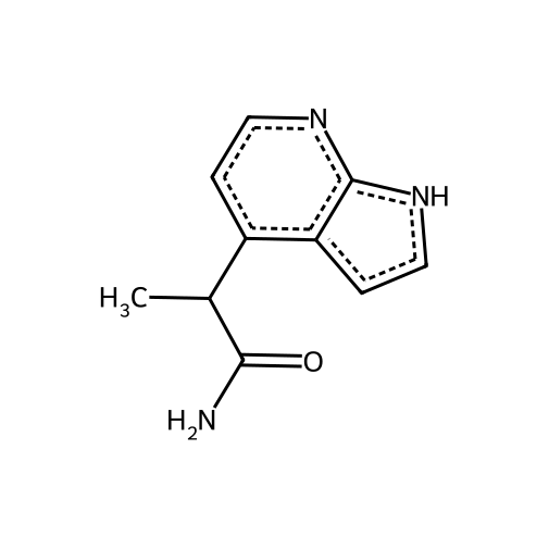 CC(C(N)=O)c1ccnc2[nH]ccc12